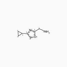 NCc1nc(C2CC2)co1